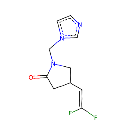 O=C1CC(C=C(F)F)CN1Cn1ccnc1